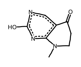 CN1CCC(=O)c2cnc(O)nc21